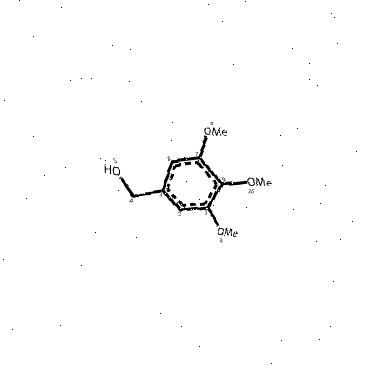 COc1cc(CO)cc(OC)c1OC